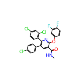 CNC(=O)c1cc(-c2ccc(Cl)cc2)c(-c2ccc(Cl)cc2Cl)nc1Oc1ccc(F)c(F)c1